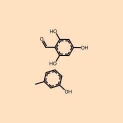 Cc1cccc(O)c1.O=Cc1c(O)cc(O)cc1O